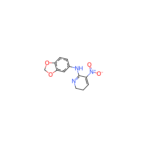 O=[N+]([O-])C1=CCCN=C1Nc1ccc2c(c1)OCO2